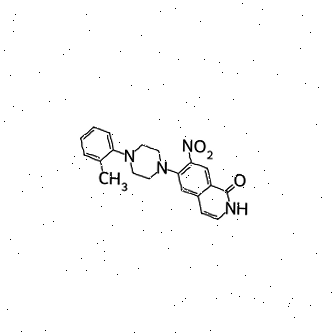 Cc1ccccc1N1CCN(c2cc3cc[nH]c(=O)c3cc2[N+](=O)[O-])CC1